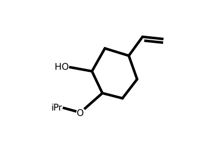 C=CC1CCC(OC(C)C)C(O)C1